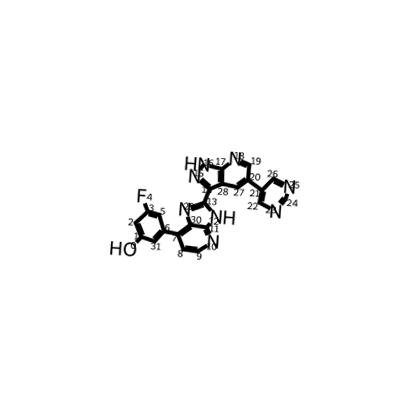 Oc1cc(F)cc(-c2ccnc3[nH]c(-c4n[nH]c5ncc(-c6cncnc6)cc45)nc23)c1